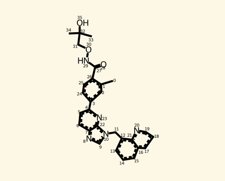 Cc1cc(-c2ccc3ncn(Cc4cccc5cccnc45)c3n2)ccc1C(=O)NOCC(C)(C)O